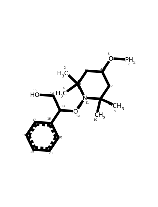 CC1(C)CC(OP)CC(C)(C)N1OC(CO)c1ccccc1